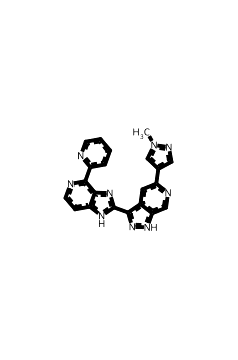 Cn1cc(-c2cc3c(-c4nc5c(-c6ccccn6)nccc5[nH]4)n[nH]c3cn2)cn1